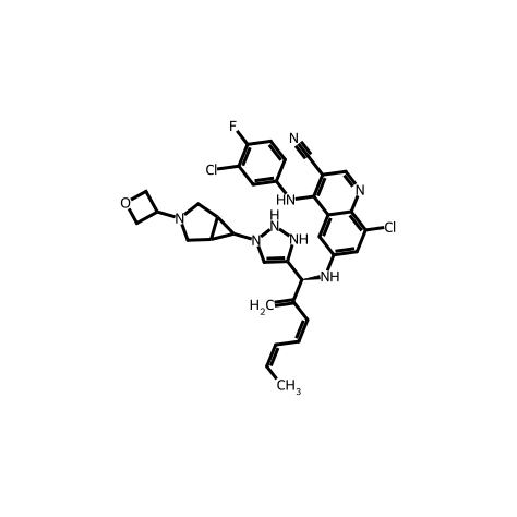 C=C(/C=C\C=C/C)[C@H](Nc1cc(Cl)c2ncc(C#N)c(Nc3ccc(F)c(Cl)c3)c2c1)C1=CN(C2C3CN(C4COC4)CC32)NN1